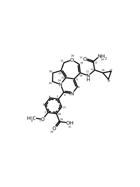 COc1ccc(C2=NC=C3C(NC(C(N)=O)C4CC4)=COCC4=C3N2CC4)cc1C(=O)O